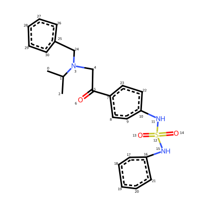 CC(C)N(CC(=O)c1ccc(NS(=O)(=O)Nc2ccccc2)cc1)Cc1ccccc1